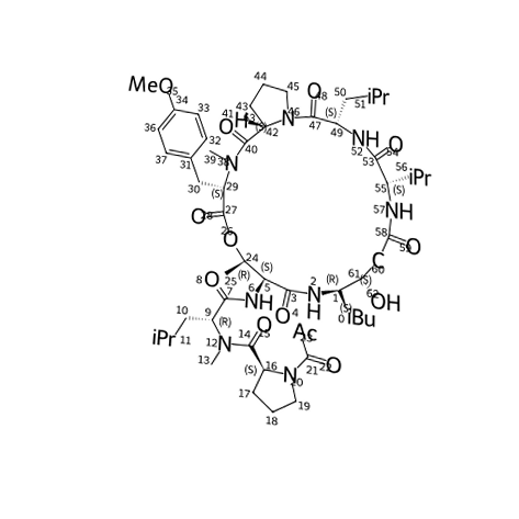 CC[C@H](C)[C@H]1NC(=O)[C@@H](NC(=O)[C@@H](CC(C)C)N(C)C(=O)[C@@H]2CCCN2C(=O)C(C)=O)[C@@H](C)OC(=O)[C@H](Cc2ccc(OC)cc2)N(C)C(=O)[C@@H]2CCCN2C(=O)[C@H](CC(C)C)NC(=O)[C@H](C(C)C)NC(=O)C[C@@H]1O